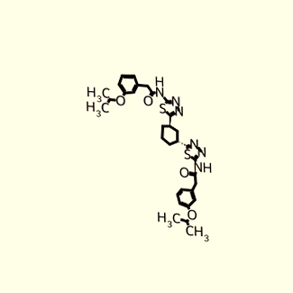 CC(C)Oc1cccc(CC(=O)Nc2nnc([C@@H]3CCC[C@@H](c4nnc(NC(=O)Cc5cccc(OC(C)C)c5)s4)C3)s2)c1